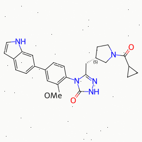 COc1cc(-c2ccc3cc[nH]c3c2)ccc1-n1c(C[C@@H]2CCN(C(=O)C3CC3)C2)n[nH]c1=O